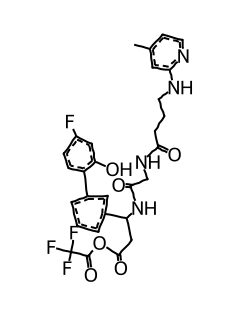 Cc1ccnc(NCCCC(=O)NCC(=O)NC(CC(=O)OC(=O)C(F)(F)F)c2cccc(-c3ccc(F)cc3O)c2)c1